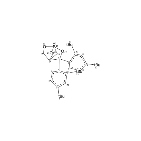 CC(C)(C)c1ccc(C2(c3ccc(C(C)(C)C)cc3C(C)(C)C)O[PH]34CC2(CO3)CO4)c(C(C)(C)C)c1